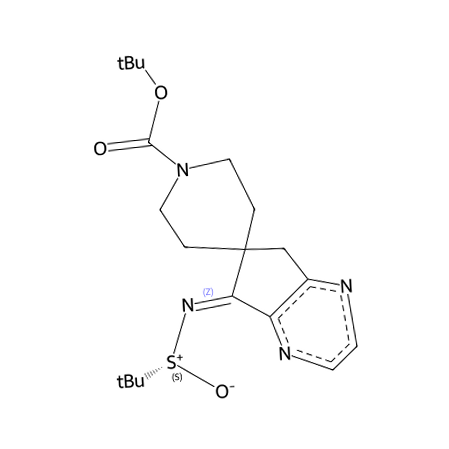 CC(C)(C)OC(=O)N1CCC2(CC1)Cc1nccnc1/C2=N\[S@+]([O-])C(C)(C)C